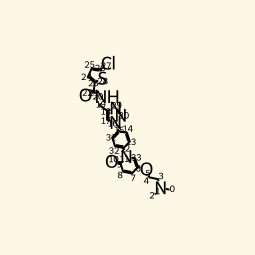 CN(C)CCOc1ccc(=O)n(-c2ccc(-n3cc(CNC(=O)c4ccc(Cl)s4)nn3)cc2)c1